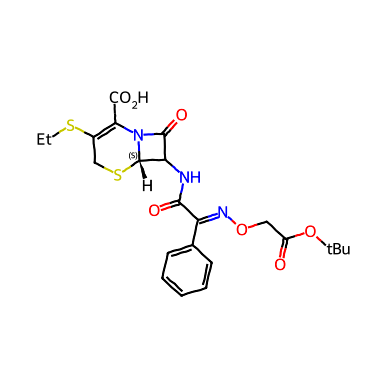 CCSC1=C(C(=O)O)N2C(=O)C(NC(=O)C(=NOCC(=O)OC(C)(C)C)c3ccccc3)[C@@H]2SC1